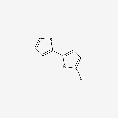 ClC1=CC=C(c2cccs2)[N]1